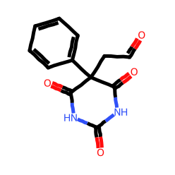 O=CCC1(c2ccccc2)C(=O)NC(=O)NC1=O